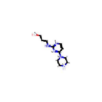 OCCCNc1nccc(N2CCNCC2)n1